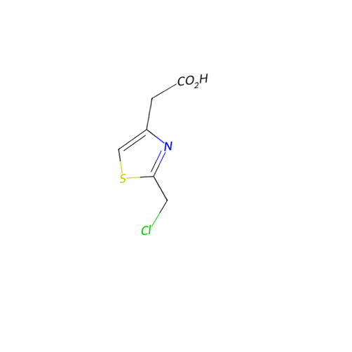 O=C(O)Cc1csc(CCl)n1